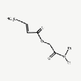 CCN(CC)C(=O)COC(=O)C=CC(=O)O